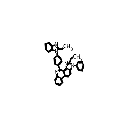 CCc1nc2ccccc2n1-c1ccc(-c2nc3ccccc3c3ccc4c(nc(CC)n4-c4ccccc4)c23)cc1